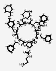 NCCNC(=O)O[C@@H]1C[C@H]2C(=O)N[C@H](CCc3ccccc3)C(=O)N[C@H](Cc3c[nH]c4ccccc34)C(=O)NC(CN3CCNCC3)C(=O)N[C@@H](Cc3ccc(OCC4CCCCC4)cc3)C(=O)N[C@@H](CCc3cccnc3)C(=O)N2C1